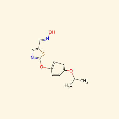 CC(C)Oc1ccc(Oc2ncc(C=NO)s2)cc1